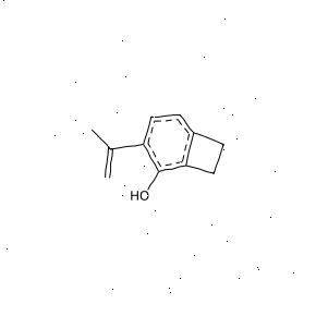 C=C(C)c1ccc2c(c1O)CC2